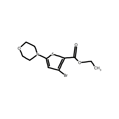 CCOC(=O)c1sc(N2CCOCC2)cc1Br